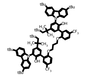 CC(C)(C)CC(C)(C)c1cc(-c2cc(C(F)(F)F)ccc2OCCCOc2ccc(C(F)(F)F)cc2-c2cc(C(C)(C)CC(C)(C)C)cc(-n3c4ccc(C(C)(C)C)cc4c4cc(C(C)(C)C)ccc43)c2O)c(O)c(-n2c3ccc(C(C)(C)C)cc3c3cc(C(C)(C)C)ccc32)c1